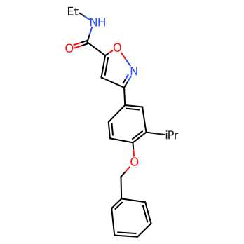 CCNC(=O)c1cc(-c2ccc(OCc3ccccc3)c(C(C)C)c2)no1